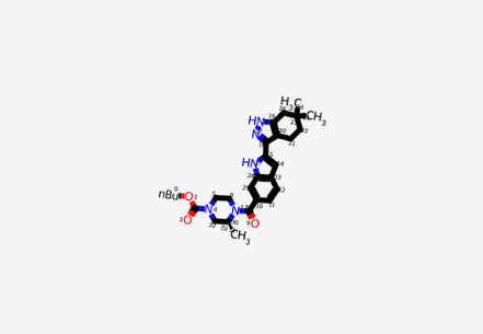 CCCCOC(=O)N1CCN(C(=O)c2ccc3cc(-c4n[nH]c5c4CCC(C)(C)C5)[nH]c3c2)[C@@H](C)C1